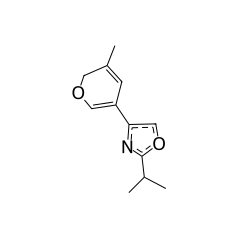 CC1=CC(c2coc(C(C)C)n2)=COC1